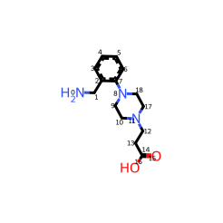 NCc1ccccc1N1CCN(CCC(=O)O)CC1